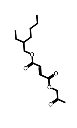 CCCCC(CC)COC(=O)/C=C/C(=O)OCC(C)=O